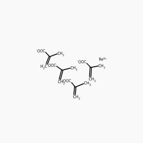 C=C(C)C(=O)[O-].C=C(C)C(=O)[O-].C=C(C)C(=O)[O-].C=C(C)C(=O)[O-].[Re+4]